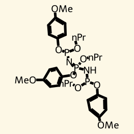 CCCOP(N=P(NP(OCCC)Oc1ccc(OC)cc1)(OCCC)Oc1ccc(OC)cc1)Oc1ccc(OC)cc1